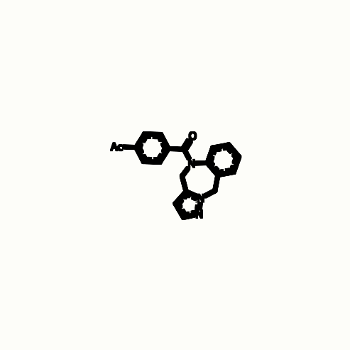 CC(=O)c1ccc(C(=O)N2Cc3ccnn3Cc3ccccc32)cc1